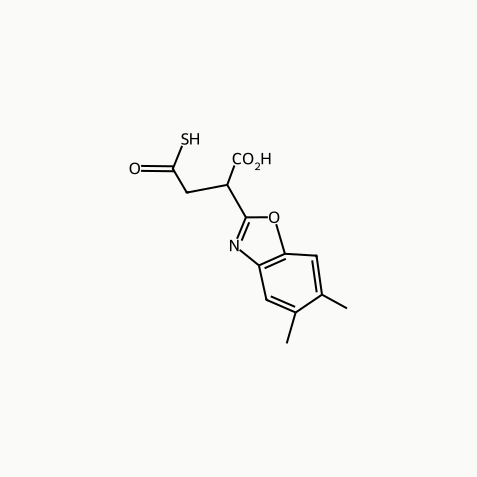 Cc1cc2nc(C(CC(=O)S)C(=O)O)oc2cc1C